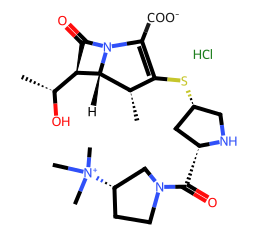 C[C@@H](O)[C@H]1C(=O)N2C(C(=O)[O-])=C(S[C@@H]3CN[C@H](C(=O)N4CC[C@H]([N+](C)(C)C)C4)C3)[C@H](C)[C@H]12.Cl